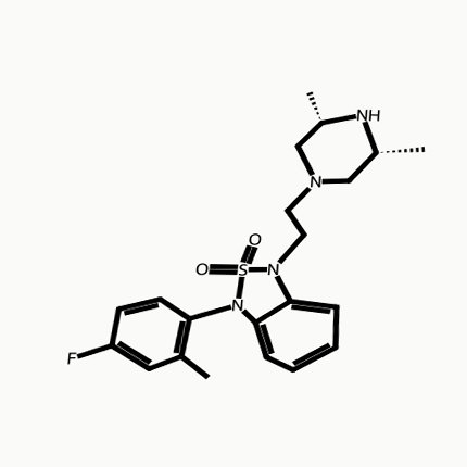 Cc1cc(F)ccc1N1c2ccccc2N(CCN2C[C@@H](C)N[C@@H](C)C2)S1(=O)=O